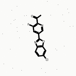 CC(=O)c1ncc(-c2nc3ccc(Cl)cc3o2)cc1F